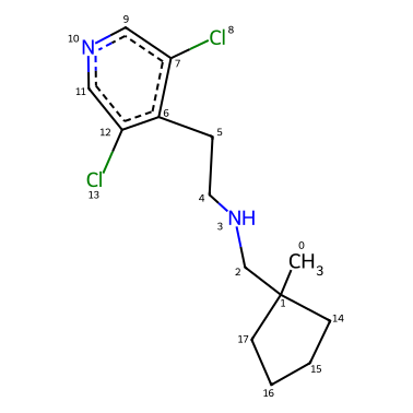 CC1(CNCCc2c(Cl)cncc2Cl)CCCC1